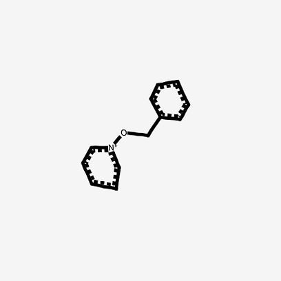 c1ccc(CO[n+]2ccccc2)cc1